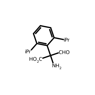 CC(C)c1cccc(C(C)C)c1C(N)(C=O)C(=O)O